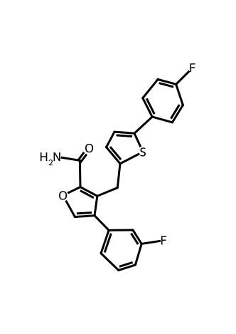 NC(=O)c1occ(-c2cccc(F)c2)c1Cc1ccc(-c2ccc(F)cc2)s1